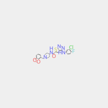 O=C(NC1CCN(Cc2cccc3c2OCO3)CC1)c1cc2c(Nc3ccc(F)c(Cl)c3)ncnc2s1